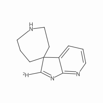 [2H]C1=Nc2ncccc2C12CCCNCC2